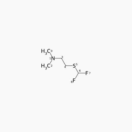 CN(C)CCSC(F)F